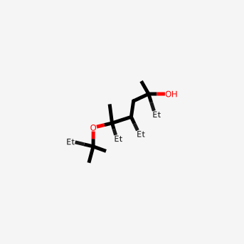 CCC(CC(C)(O)CC)C(C)(CC)OC(C)(C)CC